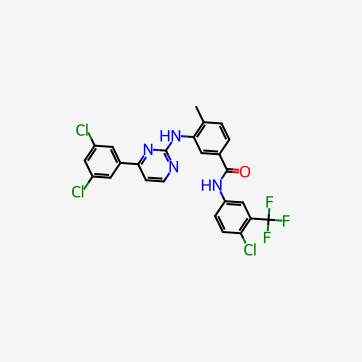 Cc1ccc(C(=O)Nc2ccc(Cl)c(C(F)(F)F)c2)cc1Nc1nccc(-c2cc(Cl)cc(Cl)c2)n1